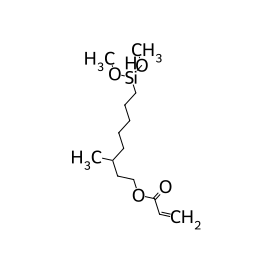 C=CC(=O)OCCC(C)CCCCC[SiH](OC)OC